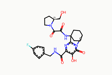 O=C(NC12CCC(CC1)Cn1c2nc(C(=O)NCc2ccc(F)cc2)c(O)c1=O)C(=O)N1CCC[C@H]1CO